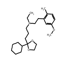 CCN(CCCC1(C2CCCCC2)OCCO1)CCc1cc(OC)ccc1C